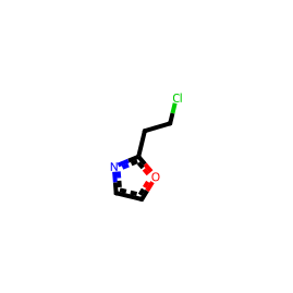 ClCCc1ncco1